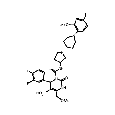 COCC1=C(C(=O)O)C(c2ccc(F)c(F)c2)N(C(=O)N[C@@H]2CCN([C@H]3CC[C@H](c4ccc(F)cc4OC)CC3)C2)C(=O)N1